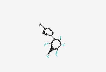 CCc1ccc(-c2c(F)c(F)c(F)c(F)c2F)cc1